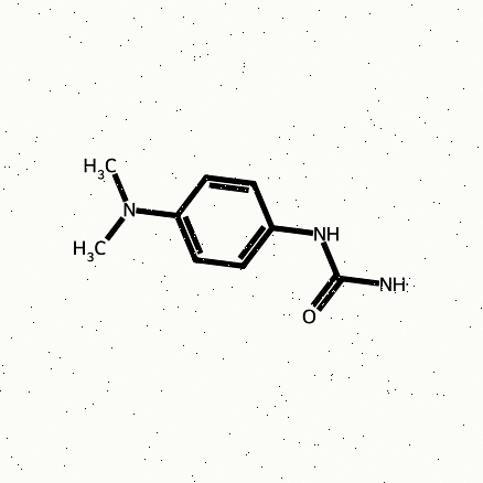 CN(C)c1ccc(NC([NH])=O)cc1